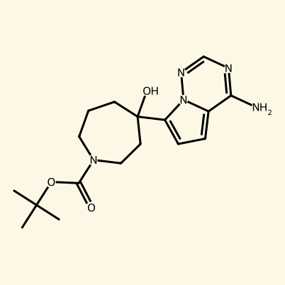 CC(C)(C)OC(=O)N1CCCC(O)(c2ccc3c(N)ncnn23)CC1